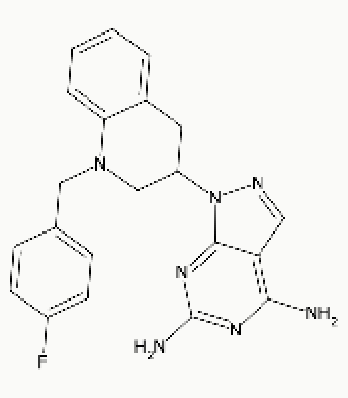 Nc1nc(N)c2cnn(C3Cc4ccccc4N(Cc4ccc(F)cc4)C3)c2n1